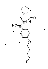 O=CN[C@H](CN1CCCC1)[C@H](O)c1ccc(OCCCCF)cc1